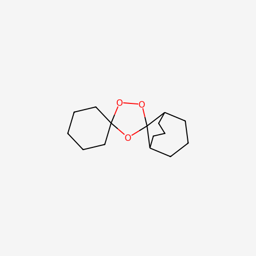 C1CCC2(CC1)OOC1(O2)C2CCCC1CCC2